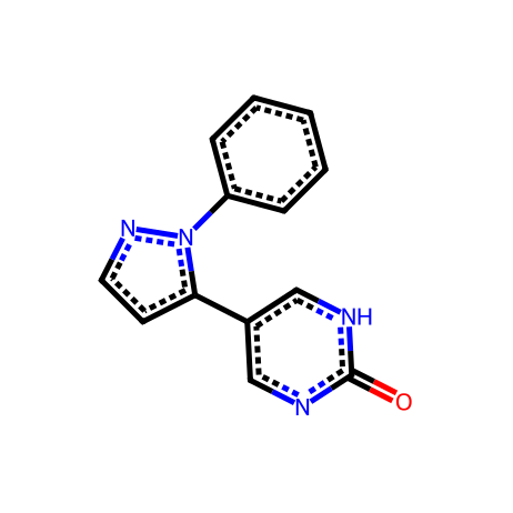 O=c1ncc(-c2ccnn2-c2ccccc2)c[nH]1